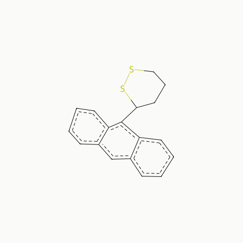 c1ccc2c(C3CCCSS3)c3ccccc3cc2c1